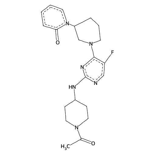 CC(=O)N1CCC(Nc2ncc(F)c(N3CCCC(n4ccccc4=O)C3)n2)CC1